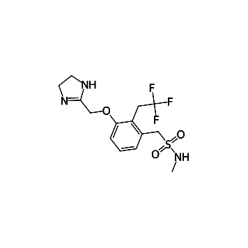 CNS(=O)(=O)Cc1cccc(OCC2=NCCN2)c1CC(F)(F)F